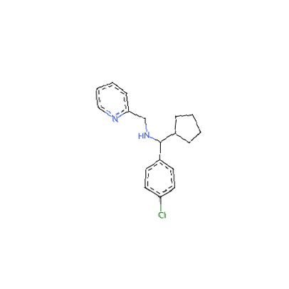 Clc1ccc(C(NCc2ccccn2)C2CCCC2)cc1